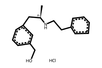 C[C@H](Cc1cccc(CO)c1)NCCc1ccccc1.Cl